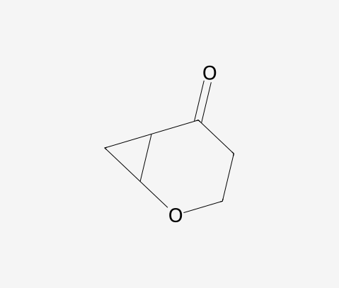 O=C1CCOC2CC12